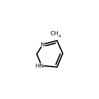 C.C1=CNCN=C1